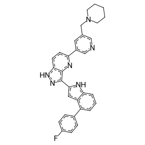 Fc1ccc(-c2cccc3[nH]c(-c4n[nH]c5ccc(-c6cncc(CN7CCCCC7)c6)nc45)cc23)cc1